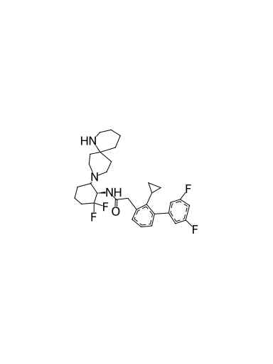 O=C(Cc1cccc(-c2cc(F)cc(F)c2)c1C1CC1)N[C@@H]1[C@@H](N2CCC3(CCCCN3)CC2)CCCC1(F)F